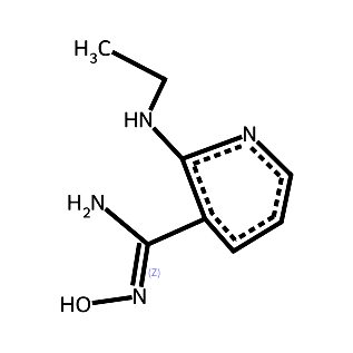 CCNc1ncccc1/C(N)=N/O